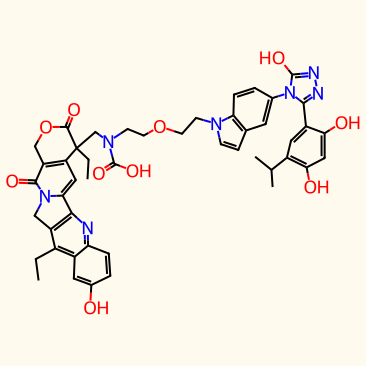 CCc1c2c(nc3ccc(O)cc13)-c1cc3c(c(=O)n1C2)COC(=O)C3(CC)CN(CCOCCn1ccc2cc(-n3c(O)nnc3-c3cc(C(C)C)c(O)cc3O)ccc21)C(=O)O